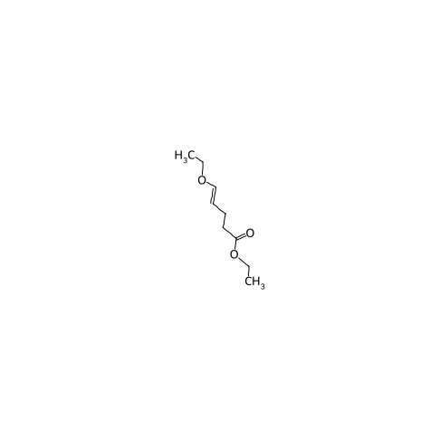 CCOC=CCCC(=O)OCC